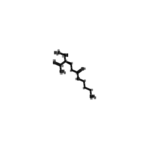 CN[C@@H](CCC(=O)OCCCN)C(C)=O